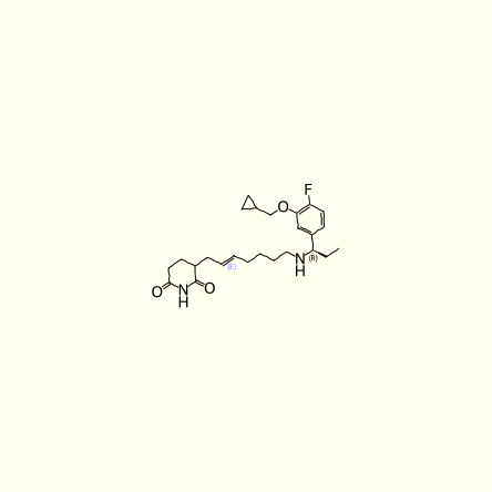 CC[C@@H](NCCCC/C=C/CC1CCC(=O)NC1=O)c1ccc(F)c(OCC2CC2)c1